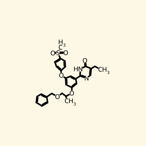 CCc1cnc(-c2cc(Oc3ccc(S(C)(=O)=O)cc3)cc(OC(C)COCc3ccccc3)c2)[nH]c1=O